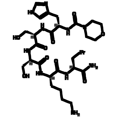 CC(C)C[C@H](NC(=O)[C@H](CCCCN)NC(=O)[C@H](CO)NC(=O)[C@H](CO)NC(=O)[C@H](Cc1c[nH]cn1)NC(=O)N1CCOCC1)C(N)=O